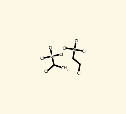 CC(Cl)[Si](Cl)(Cl)Cl.ClCC[Si](Cl)(Cl)Cl